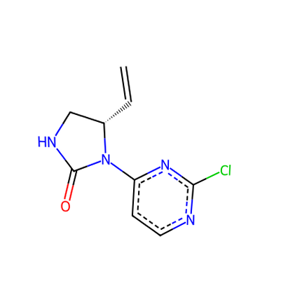 C=C[C@H]1CNC(=O)N1c1ccnc(Cl)n1